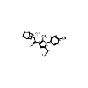 Cc1c(C(=O)CN2C3CCC2[C@H](O)C3)cc(CC(F)(F)F)n1-c1ccc(C#N)cc1